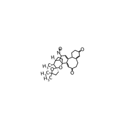 C[C@H]1[C@H]2CC[C@]3(O[C@]14CCC(C)(C)O4)/C1=C/C(=O)CCC4=CC(=O)CCC4C1=CC(N=O)C23